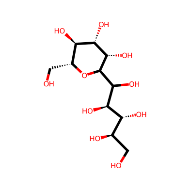 OC[C@@H](O)[C@@H](O)[C@@H](O)C(O)C1O[C@H](CO)[C@@H](O)[C@H](O)[C@@H]1O